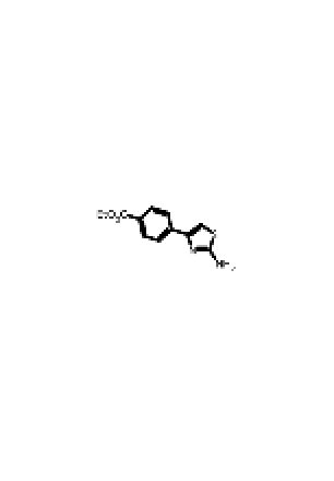 CCOC(=O)c1ccc(-c2csc(N)n2)cc1